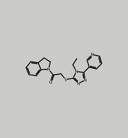 CCn1c(SCC(=O)N2CCc3ccccc32)nnc1-c1cccnc1